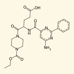 CCOC(=O)N1CCN(C(=O)C(CCC(=O)O)NC(=O)c2cc(N)nc(-c3ccccc3)n2)CC1